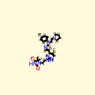 CC1(C)C(=O)NC(=O)N1CCNc1ncc(F)c(-c2cnc(N(CCN3CCCC3)c3ccc(F)cc3)s2)n1